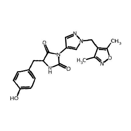 Cc1noc(C)c1Cn1cc(N2C(=O)NC(Cc3ccc(O)cc3)C2=O)cn1